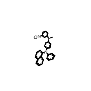 CN(c1ccc(N(c2ccccc2)c2cccc3ccccc23)cc1)c1cccc(N=O)c1